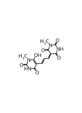 CN1C(=O)NC(=O)C(=CC=Cc2c(O)n(C)c(=O)[nH]c2=O)C1=O